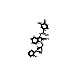 Cc1ccccc1-n1cc(Cn2c(=N)n(CC(O)c3ccc(Cl)c(Cl)c3)c3ccccc32)nn1